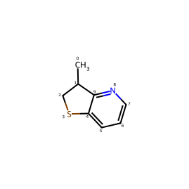 CC1CSc2cccnc21